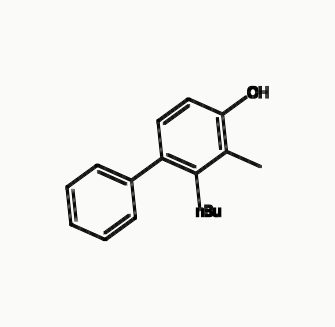 CCCCc1c(-c2ccccc2)ccc(O)c1C